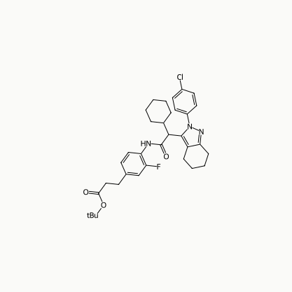 CC(C)(C)OC(=O)CCc1ccc(NC(=O)C(c2c3c(nn2-c2ccc(Cl)cc2)CCCC3)C2CCCCC2)c(F)c1